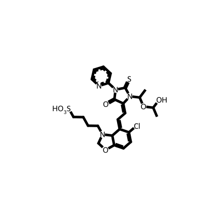 CC(O)OC(C)N1C(=S)N(c2ccccn2)C(=O)C1=CC=C1C(Cl)=CC=C2OCN(CCCCS(=O)(=O)O)C21